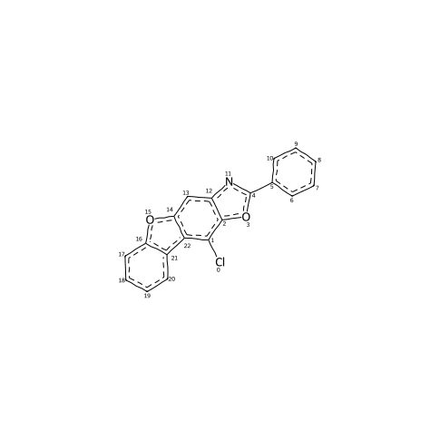 Clc1c2oc(-c3ccccc3)nc2cc2oc3ccccc3c12